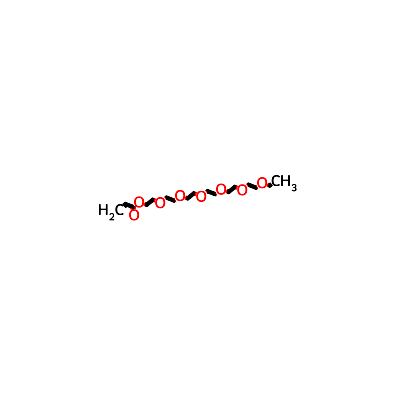 C=CC(=O)OCCOCCOCCOCCOCCOCCOCC